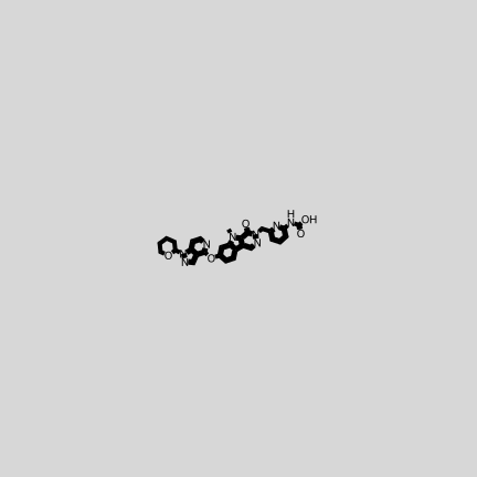 Cn1c2cc(Oc3nccc4c3cnn4C3CCCCO3)ccc2c2cnn(Cc3cccc(NC(=O)O)n3)c(=O)c21